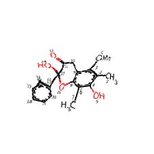 COc1c(C)c(O)c(C)c2c1CC(=O)C(O)(c1ccccc1)O2